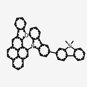 C[Si]1(C)c2ccccc2-c2ccc(-c3ccc4c(c3)c3ccccc3n4-c3cc4cccc5ccc6cc7c8ccccc8oc7c3c6c54)cc21